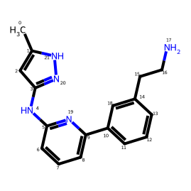 Cc1cc(Nc2cccc(-c3cccc(CCN)c3)n2)n[nH]1